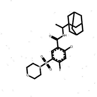 CC(NC(=O)c1cc(S(=O)(=O)N2CCOCC2)c(F)cc1Cl)C12CC3CC(CC(C3)C1)C2